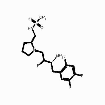 CS(=O)(=O)NCC1CCCN1CC(F)[C@H](N)Cc1cc(F)c(F)cc1F